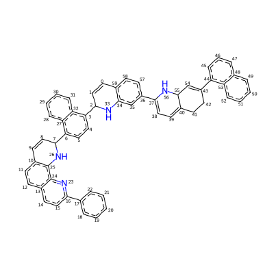 C1=CC(c2ccc(C3C=Cc4ccc5ccc(-c6ccccc6)nc5c4N3)c3ccccc23)Nc2cc(C3=CC=C4CCC(c5cccc6ccccc56)=CC4N3)ccc21